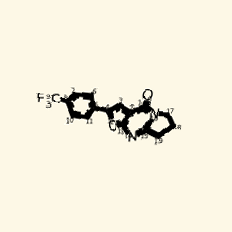 O=c1c2cc(-c3ccc(C(F)(F)F)cc3)oc2nc2n1CCC2